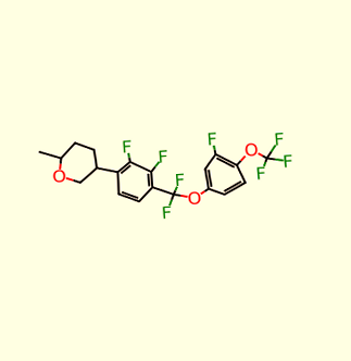 CC1CCC(c2ccc(C(F)(F)Oc3ccc(OC(F)(F)F)c(F)c3)c(F)c2F)CO1